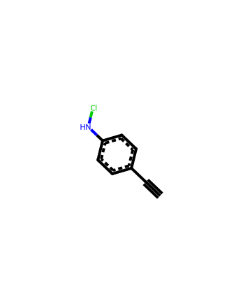 C#Cc1ccc(NCl)cc1